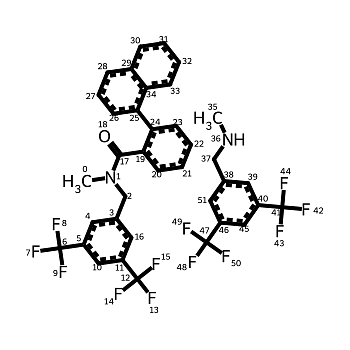 CN(Cc1cc(C(F)(F)F)cc(C(F)(F)F)c1)C(=O)c1ccccc1-c1cccc2ccccc12.CNCc1cc(C(F)(F)F)cc(C(F)(F)F)c1